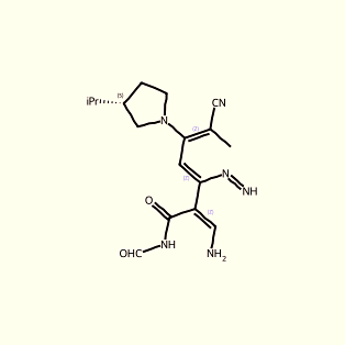 C\C(C#N)=C(/C=C(N=N)/C(=C/N)C(=O)NC=O)N1CC[C@@H](C(C)C)C1